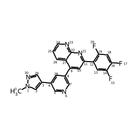 Cn1cc(-c2cncc(-c3cc(-c4cc(F)c(F)cc4F)nc4ncccc34)c2)cn1